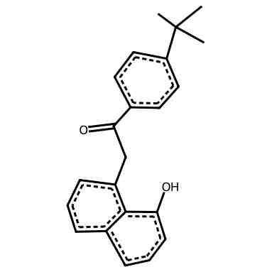 CC(C)(C)c1ccc(C(=O)Cc2cccc3cccc(O)c23)cc1